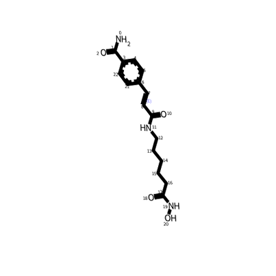 NC(=O)c1ccc(/C=C/C(=O)NCCCCCC(=O)NO)cc1